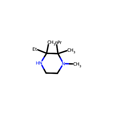 CCCC1(C)N(C)CCNC1(C)CC